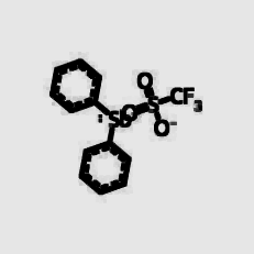 O=S(=O)([O-])C(F)(F)F.c1cc[c]([Sb+][c]2ccccc2)cc1